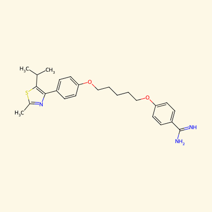 Cc1nc(-c2ccc(OCCCCCOc3ccc(C(=N)N)cc3)cc2)c(C(C)C)s1